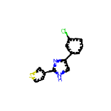 Clc1cccc(-c2c[nH]c(-c3ccsc3)n2)c1